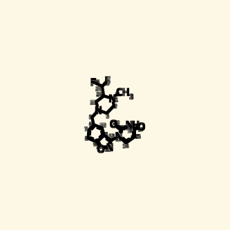 CN1CCN(Cc2ccc3onc(-n4ccc(=O)[nH]c4=O)c3c2)CC1C(F)F